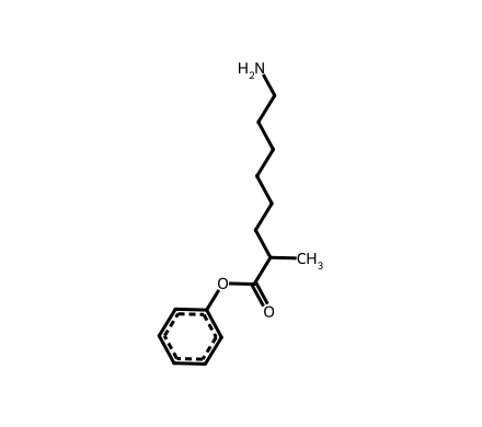 CC(CCCCCCN)C(=O)Oc1ccccc1